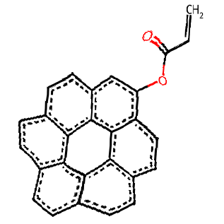 C=CC(=O)Oc1cc2ccc3ccc4ccc5ccc6ccc1c1c6c5c4c3c21